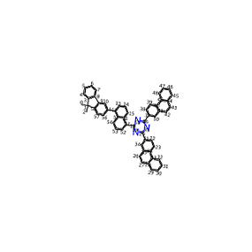 CC1(C)c2ccccc2-c2cc(-c3cccc4c(-c5nc(-c6ccc7c(ccc8ccccc87)c6)nc(-c6ccc7c(ccc8ccccc87)c6)n5)cccc34)ccc21